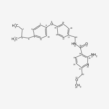 CCC(C)Cc1ccc(Oc2ccc(CNC(=O)c3ccc(COC)nc3N)cc2)cc1